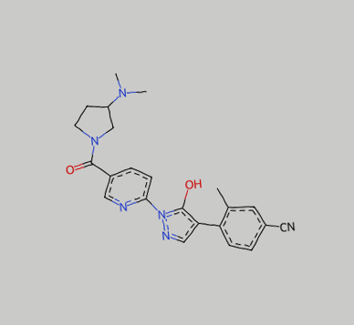 Cc1cc(C#N)ccc1-c1cnn(-c2ccc(C(=O)N3CCC(N(C)C)C3)cn2)c1O